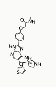 CNC(=O)COc1ccc(-c2nc3c(N[C@@]4(Cc5ccsc5)CCNC4)c(Cl)cnc3[nH]2)cc1